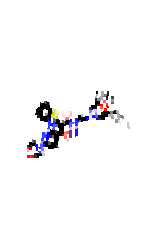 CC1CN(CCNC(=O)c2c(=O)c3ccc(N4CCOCC4)nc3n3c2sc2ccccc23)CC(C)O1